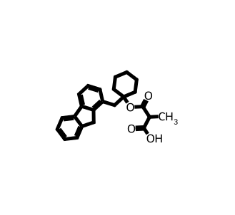 CC(C(=O)O)C(=O)OC1(Cc2cccc3c2Cc2ccccc2-3)CCCCC1